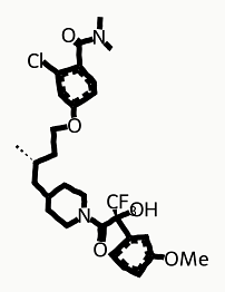 COc1cccc([C@@](O)(C(=O)N2CCC(C[C@H](C)CCOc3ccc(C(=O)N(C)C)c(Cl)c3)CC2)C(F)(F)F)c1